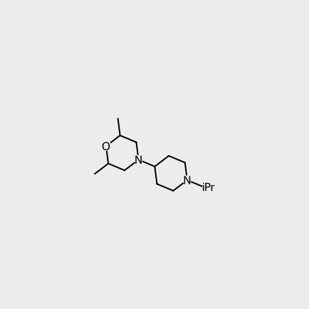 CC1CN(C2CCN(C(C)C)CC2)CC(C)O1